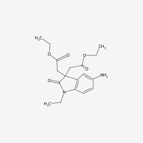 CCOC(=O)CC1(CC(=O)OCC)C(=O)N(CC)c2ccc(N)cc21